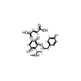 CNCC[C@@H](Cc1ccc(C)cc1)Oc1cc(Cl)ccc1Cl.O=C(O)/C=C/C(=O)O